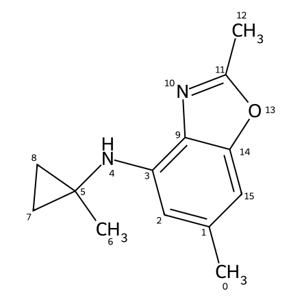 Cc1cc(NC2(C)CC2)c2nc(C)oc2c1